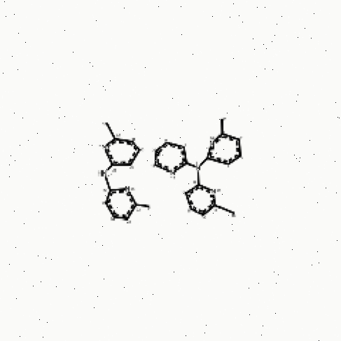 Cc1cccc(N(c2ccccn2)c2cccc(C)n2)n1.Cc1cccc(Nc2cccc(C)n2)n1